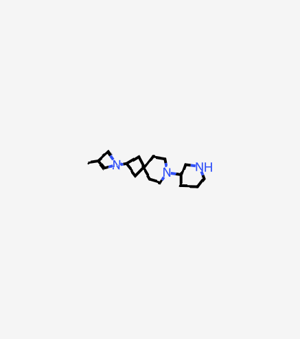 CC1CN(C2CC3(CCN(C4CCCNC4)CC3)C2)C1